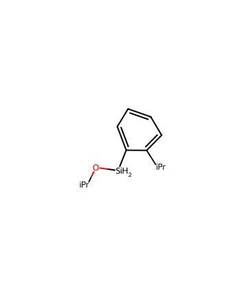 CC(C)O[SiH2]c1ccccc1C(C)C